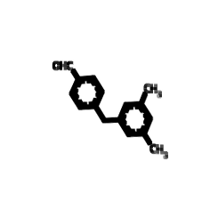 Cc1cc(C)cc(Cc2ccc(C=O)cc2)c1